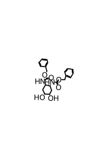 O=C(N[C@H]1C[C@@H](O)[C@@H](O)C[C@H]1NC(=O)OCc1ccccc1)OCc1ccccc1